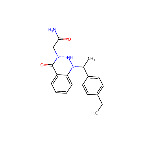 CCc1ccc(C(C)N2NN(CC(N)=O)C(=O)c3ccccc32)cc1